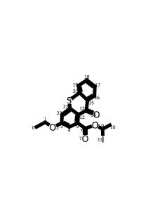 CCOc1cc(C(=O)OC(C)I)c2c(=O)c3ccccc3sc2c1